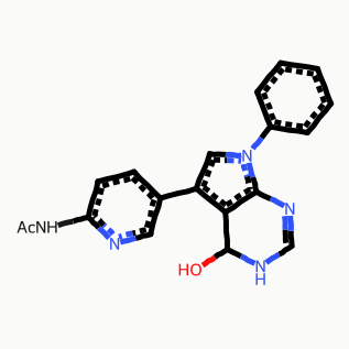 CC(=O)Nc1ccc(-c2cn(-c3ccccc3)c3c2C(O)NC=N3)cn1